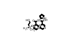 C[N+](C)(C)CCO.O=C(O)c1cnccn1.O=C([O-])c1cnccn1.c1cc[nH]c1